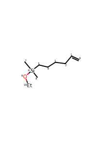 C=CCCCC[Si](C)(C)OCC